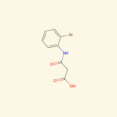 O=C(O)CC(=O)Nc1ccccc1Br